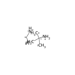 CC(C)(C)N.CC(C)CN